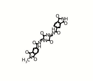 CN1C(=O)c2ccc(C(=O)NCC3NC(=O)C(CNC(=O)c4ccc5c(c4)C(=O)NC5=O)NC3=O)cc2C1=O